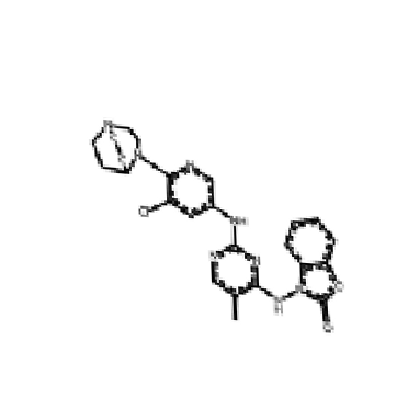 Cc1cnc(Nc2cnc(N3CCN4CCC3CC4)c(Cl)c2)nc1Nn1c(=O)oc2ccccc21